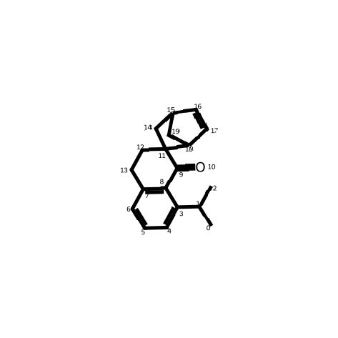 CC(C)c1cccc2c1C(=O)C1(CC2)CC2C=CC1C2